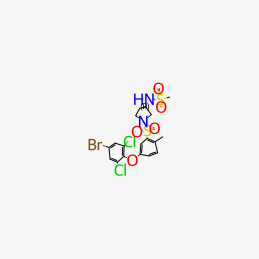 Cc1ccc(Oc2c(Cl)cc(Br)cc2Cl)cc1S(=O)(=O)N1CC[C@@H](NS(C)(=O)=O)C1